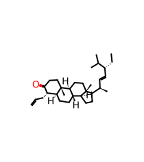 C=CC[C@@H]1C(=O)CC[C@]2(C)[C@H]3CC[C@]4(C)[C@@H]([C@H](C)C=C[C@@H](CC)C(C)C)CC[C@H]4[C@@H]3CC[C@@H]12